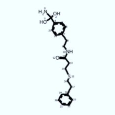 NC(O)(O)c1ccc(CCNC(=O)CCSCCc2ccccc2)cc1